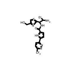 CCC(N)C(NC(=O)c1ccc(-c2ccc(C(F)(F)F)nn2)[nH]1)c1nc(CO)cs1